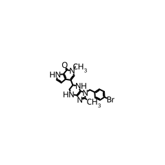 Cc1nc2c(n1Cc1ccc(Br)cc1)NC(c1cn(C)c(=O)c3[nH]ccc13)CN2